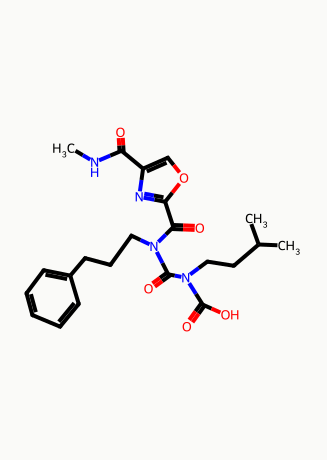 CNC(=O)c1coc(C(=O)N(CCCc2ccccc2)C(=O)N(CCC(C)C)C(=O)O)n1